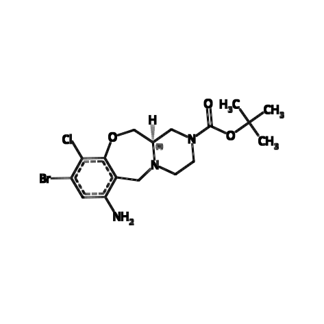 CC(C)(C)OC(=O)N1CCN2Cc3c(N)cc(Br)c(Cl)c3OC[C@H]2C1